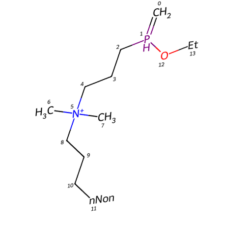 C=[PH](CCC[N+](C)(C)CCCCCCCCCCCC)OCC